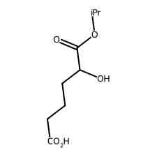 CC(C)OC(=O)C(O)CCCC(=O)O